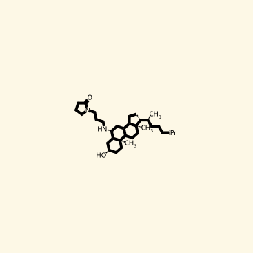 CC(C)CCC[C@@H](C)[C@H]1CCC2C3C[C@@H](NCCCN4CCCC4=O)C4C[C@@H](O)CC[C@]4(C)C3CC[C@@]21C